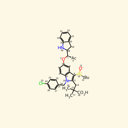 CC(=O)[C@@H](Oc1ccc2c(c1)c([S+]([O-])C(C)(C)C)c(CC(C)(C)C(=O)O)n2Cc1ccc(Cl)cc1)C1Cc2ccccc2N1